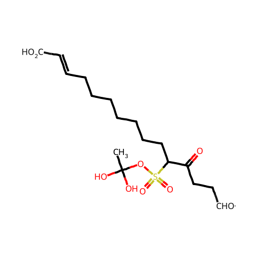 CC(O)(O)OS(=O)(=O)C(CCCCCCCC=CC(=O)O)C(=O)CC[C]=O